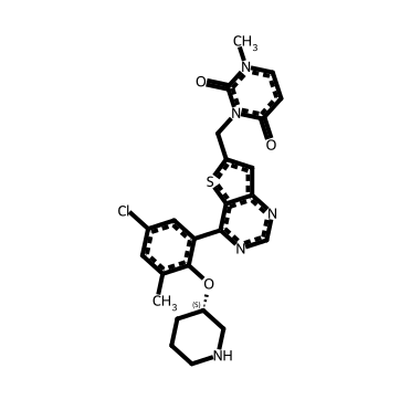 Cc1cc(Cl)cc(-c2ncnc3cc(Cn4c(=O)ccn(C)c4=O)sc23)c1O[C@H]1CCCNC1